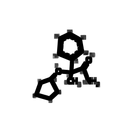 CC(OC1CCCC1)(C(N)=O)c1ccccc1